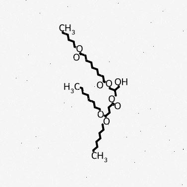 CCCCCCCCOC(CCC(=O)OCC(CO)COC(=O)CCCCCCCC(=O)OCCCCCC)OCCCCCCCC